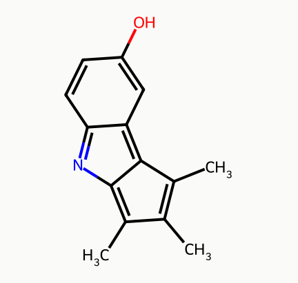 CC1=C(C)C2=c3cc(O)ccc3=NC2=C1C